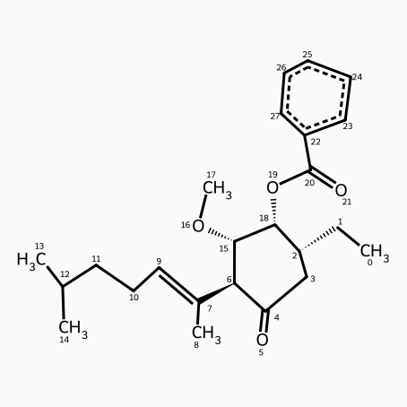 CC[C@@H]1CC(=O)[C@@H](/C(C)=C/CCC(C)C)[C@H](OC)[C@@H]1OC(=O)c1ccccc1